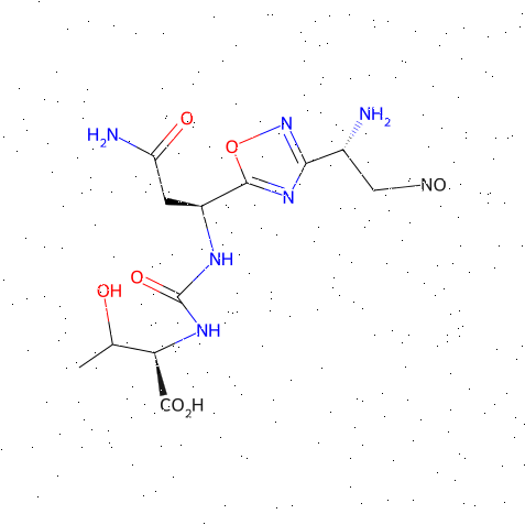 CC(O)[C@@H](NC(=O)N[C@@H](CC(N)=O)c1nc([C@H](N)CN=O)no1)C(=O)O